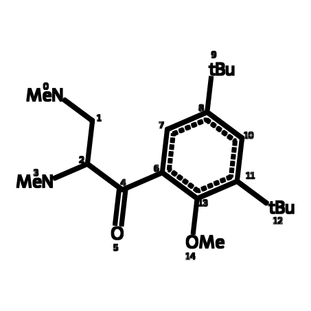 CNCC(NC)C(=O)c1cc(C(C)(C)C)cc(C(C)(C)C)c1OC